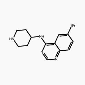 CC(C)c1ccc2ncnc(NC3CCNCC3)c2c1